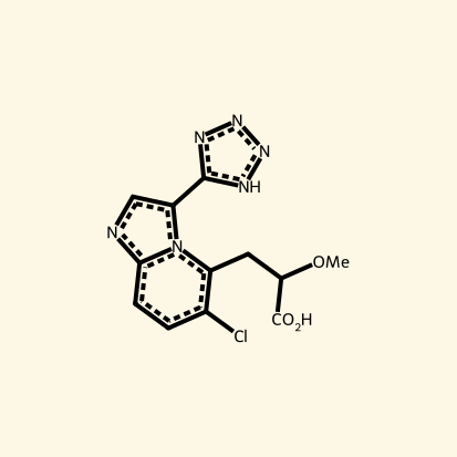 COC(Cc1c(Cl)ccc2ncc(-c3nnn[nH]3)n12)C(=O)O